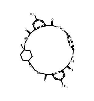 Cc1cc2cc(c1)C(=O)NC[C@H]1CC[C@H](CC1)CNC(=O)c1cc(C)cc(c1)C(=O)NCc1ccc(cc1)CNC2=O